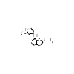 Cc1ccc2ccnc(Nc3ccnc(Cl)c3)c2n1